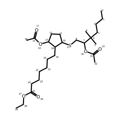 CCCCC(C)(C)C(CSC1CCC(OC(C)=O)C1CCCCCCC(=O)OCC)OC(C)=O